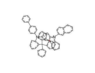 c1ccc(-c2ccc(N(c3ccc4c(c3)c3ccccc3n4-c3ccc4ccccc4c3)c3ccccc3C3(c4ccccc4)c4ccccc4-c4ccccc43)cc2)cc1